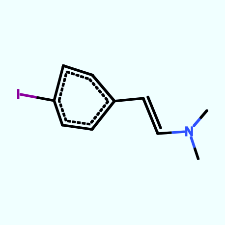 CN(C)C=Cc1ccc(I)cc1